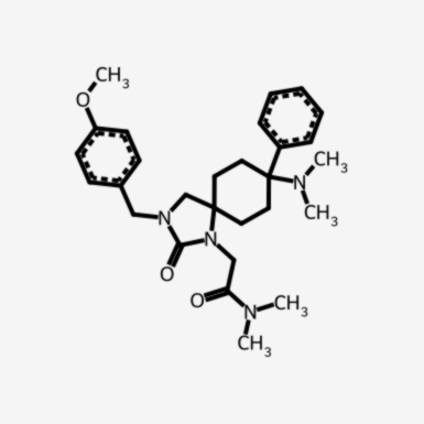 COc1ccc(CN2CC3(CCC(c4ccccc4)(N(C)C)CC3)N(CC(=O)N(C)C)C2=O)cc1